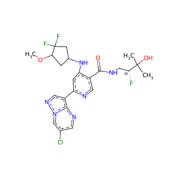 COC1CC(Nc2cc(-c3cnn4cc(Cl)cnc34)ncc2C(=O)NC[C@@H](F)C(C)(C)O)CC1(F)F